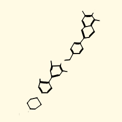 CCC[C@H]1CC[C@H](c2ccc(-c3cc(F)c(OCc4ccc(-c5ccc6c(F)c(F)c(F)cc6c5)cc4)c(F)c3)c(F)c2)CC1